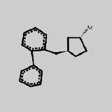 CC(=O)[C@@H]1CC[C@@H](Cc2ccccc2-c2ccccc2)C1